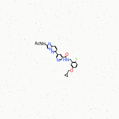 CC(=O)Nc1cn2nc(-c3cncc(C(=O)NCc4cc(OCC5CC5)ccc4F)c3)ccc2n1